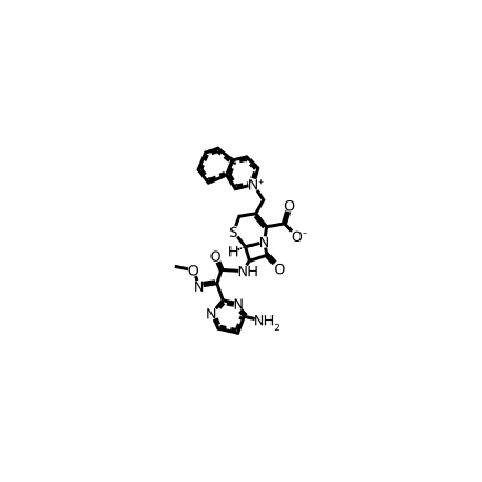 CO/N=C(\C(=O)NC1C(=O)N2C(C(=O)[O-])=C(C[n+]3ccc4ccccc4c3)CS[C@H]12)c1nccc(N)n1